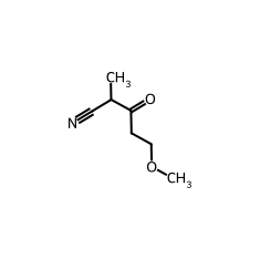 COCCC(=O)C(C)C#N